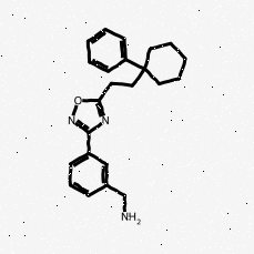 NCc1cccc(-c2noc(CCC3(c4ccccc4)CCCCC3)n2)c1